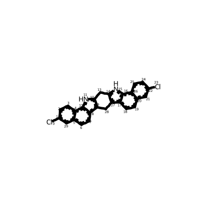 Clc1ccc2c(ccc3c4c([nH]c32)Cc2[nH]c3c(ccc5cc(Cl)ccc53)c2C4)c1